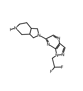 FC(F)Cn1ncc2ncc(N3CC4CCN(I)CC4C3)nc21